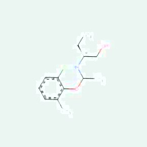 CC[C@@H](CO)NC(C)Oc1c(C)cccc1Cl